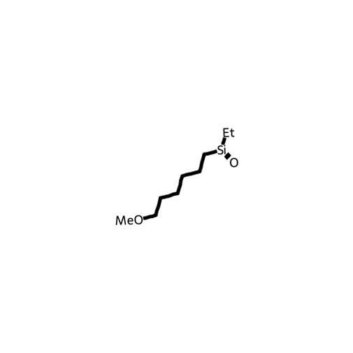 CC[Si](=O)CCCCCCOC